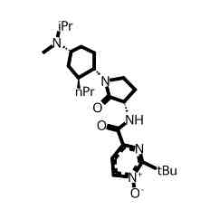 CCC[C@H]1C[C@H](N(C)C(C)C)CC[C@@H]1N1CC[C@H](NC(=O)c2cc[n+]([O-])c(C(C)(C)C)n2)C1=O